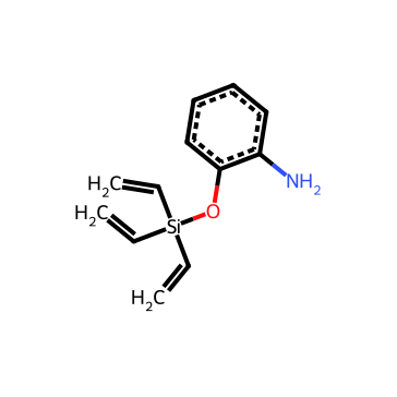 C=C[Si](C=C)(C=C)Oc1ccccc1N